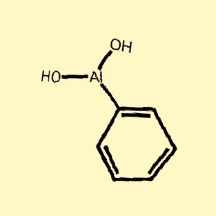 [OH][Al]([OH])[c]1ccccc1